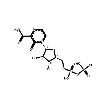 NC(=O)c1nccn([C@@H]2O[C@H](COP(=O)(O)OP(=O)(O)O)[C@H](O)[C@H]2O)c1=O